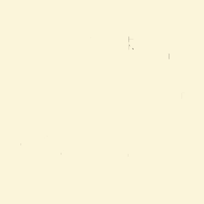 [2H]C(Nc1cccc(/C=C/C(=O)OC)c1)c1ccc(Br)cc1F